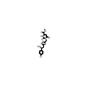 COC(=O)c1cc(=O)n(Cc2nc(CC(O)c3ccc(Cl)cc3)no2)c(=O)[nH]1